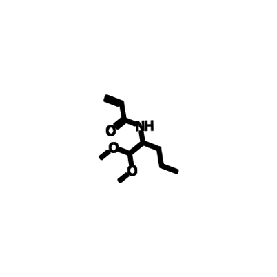 C=CC(=O)NC(CCC)C(OC)OC